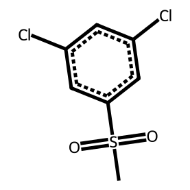 CS(=O)(=O)c1cc(Cl)cc(Cl)c1